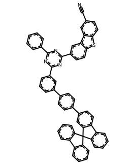 N#Cc1ccc2sc3ccc(-c4nc(-c5ccccc5)nc(-c5cccc(-c6ccc(-c7ccc8c(c7)C7(c9ccccc9-c9ccccc97)c7ccccc7-8)cc6)c5)n4)cc3c2c1